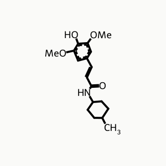 COc1cc(C=CC(=O)NC2CCC(C)CC2)cc(OC)c1O